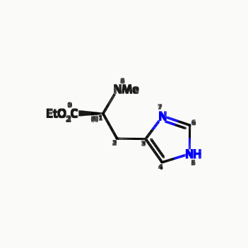 CCOC(=O)[C@H](Cc1c[nH]cn1)NC